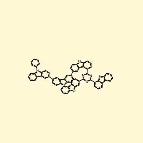 c1ccc(-n2c3ccccc3c3cc(-c4ccc5sc6ccc(-c7ccc8oc9cccc(-c%10nc(-c%11ccc%12c(c%11)oc%11ccccc%11%12)nc(-c%11cccc%12c%11sc%11ccccc%11%12)n%10)c9c8c7)cc6c5c4)ccc32)cc1